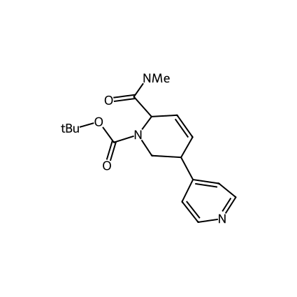 CNC(=O)C1C=CC(c2ccncc2)CN1C(=O)OC(C)(C)C